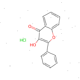 Cl.O=c1c(O)c(-c2ccccc2)oc2ccccc12